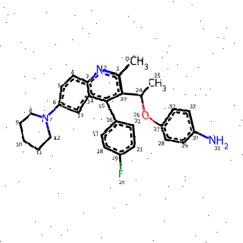 Cc1nc2ccc(N3CCCCC3)cc2c(-c2ccc(F)cc2)c1C(C)Oc1ccc(N)cc1